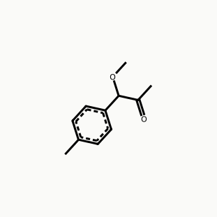 COC(C(C)=O)c1ccc(C)cc1